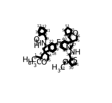 CCC1(C)CC(CCNCc2ccccc2O)(c2ccc(F)cc2)CCO1.COc1ccsc1CNCC[C@@]1(c2ccccn2)CCOC2(CCCC2)C1